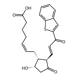 O=C(O)CCC/C=C\C[C@H]1[C@@H](O)CC(=O)[C@@H]1/C=C/C(=O)c1cc2ccccc2s1